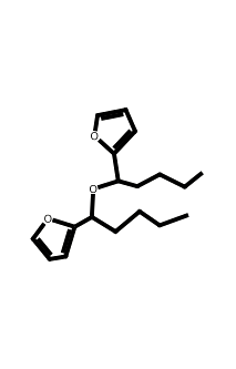 CCCCC(OC(CCCC)c1ccco1)c1ccco1